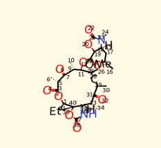 CC[C@H]1OC(=O)[C@H](C)C(=O)[C@H](C)[C@@H](OC2O[C@H](C)C[C@H]3C2OC(=O)N3C)[C@](C)(OC)C[C@@H](C)C(=O)[C@H](C)[C@H]2NC(=O)O[C@@]21C